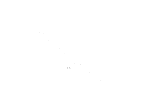 CCCCCCCCC(N)C(=O)OCCO